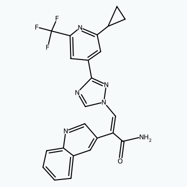 NC(=O)/C(=C/n1cnc(-c2cc(C3CC3)nc(C(F)(F)F)c2)n1)c1cnc2ccccc2c1